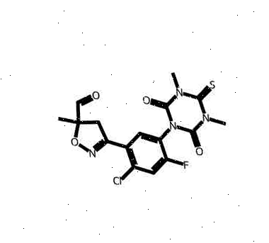 Cn1c(=S)n(C)c(=O)n(-c2cc(C3=NOC(C)(C=O)C3)c(Cl)cc2F)c1=O